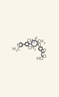 C=C1/C(F)=C\C=C(\c2c(C)cc(-c3ccnc(C)c3)cc2C)CCC[C@H]1Oc1ccc2c(c1)OC[C@H]2CC(=O)O